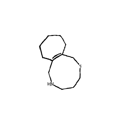 C1CCC2=C(CC1)CSCCCNC2